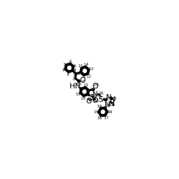 O=C(CC(c1ccccc1)c1ccccc1)Nc1ccc2c(c1)C(=O)N(CSc1nnnn1-c1ccccc1)S2(=O)=O